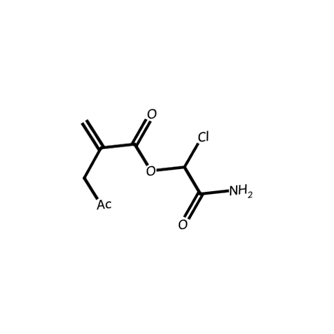 C=C(CC(C)=O)C(=O)OC(Cl)C(N)=O